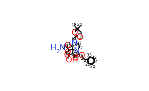 CC(C(=O)O)C1(C(=O)CN)C(=O)N(CC(=O)OC(C)(C)C)CCN1C(=O)OCc1ccccc1